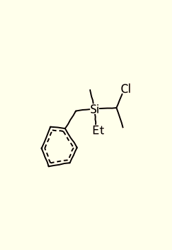 CC[Si](C)(Cc1ccccc1)C(C)Cl